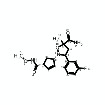 CONC(=O)[C@H]1C=C[C@@H](N2OC(C)(C(N)=O)CC2c2cccc(F)c2)C1